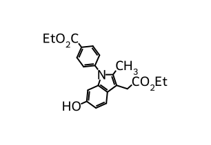 CCOC(=O)Cc1c(C)n(-c2ccc(C(=O)OCC)cc2)c2cc(O)ccc12